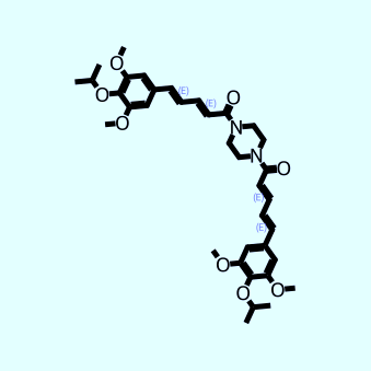 COc1cc(/C=C/C=C/C(=O)N2CCN(C(=O)/C=C/C=C/c3cc(OC)c(OC(C)C)c(OC)c3)CC2)cc(OC)c1OC(C)C